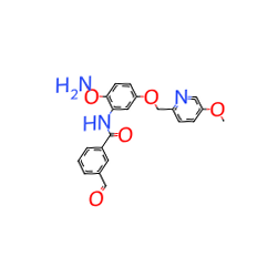 COc1ccc(COc2ccc(ON)c(NC(=O)c3cccc(C=O)c3)c2)nc1